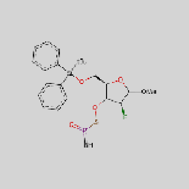 B=P(=O)SO[C@H]1[C@H](F)C(OC)O[C@@H]1CO[Si](c1ccccc1)(c1ccccc1)C(C)(C)C